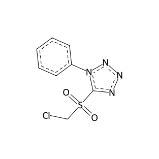 O=S(=O)(CCl)c1nnnn1-c1ccccc1